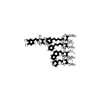 CC(C)COC(=O)C(C)NC(=O)CCCCc1ccccc1.CC(C)COC(=O)C(C)NC(=O)CCCc1ccccc1.CC(C)COC(=O)C(C)NC(=O)Cc1ccc2ccccc2c1.CC(C)COC(=O)C(C)NC(=O)Cc1ccncc1.CCC(NC(=O)Cc1ccc(Cl)c(Cl)c1)C(=O)OCC(C)C